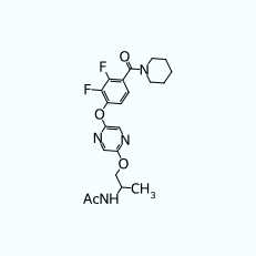 CC(=O)NC(C)COc1cnc(Oc2ccc(C(=O)N3CCCCC3)c(F)c2F)cn1